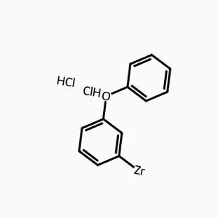 Cl.Cl.[Zr][c]1cccc(Oc2ccccc2)c1